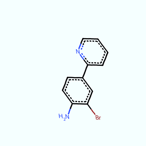 Nc1ccc(-c2ccccn2)cc1Br